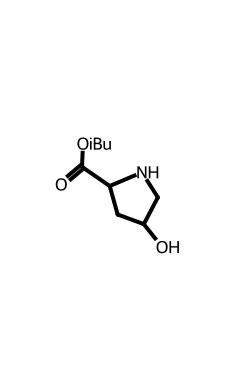 CC(C)COC(=O)C1CC(O)CN1